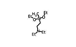 CCO[Si](C)(CCN(CC)CC)OCC